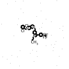 CCCCn1cc(-c2ccc(OC(F)(F)F)cc2)c2cc(CN3CCCC4(CCN(Cc5c(Cl)cccc5Cl)CC4)C3)ccc21